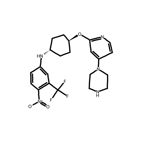 O=[N+]([O-])c1ccc(N[C@H]2CC[C@H](Oc3cc(N4CCNCC4)ccn3)CC2)cc1C(F)(F)F